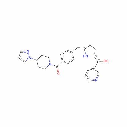 O=C(c1ccc(C[C@@H]2CC[C@H]([C@H](O)c3cccnc3)N2)cc1)N1CCC(n2cccn2)CC1